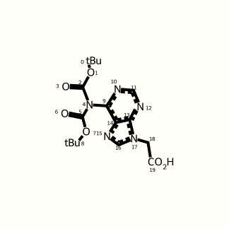 CC(C)(C)OC(=O)N(C(=O)OC(C)(C)C)c1ncnc2c1ncn2CC(=O)O